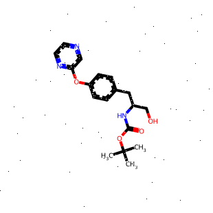 CC(C)(C)OC(=O)NC(CO)Cc1ccc(Oc2cnccn2)cc1